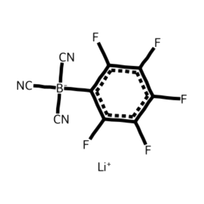 N#C[B-](C#N)(C#N)c1c(F)c(F)c(F)c(F)c1F.[Li+]